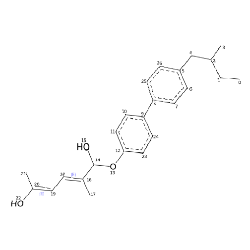 CCC(C)Cc1ccc(-c2ccc(OC(O)/C(C)=C/C=C(\C)O)cc2)cc1